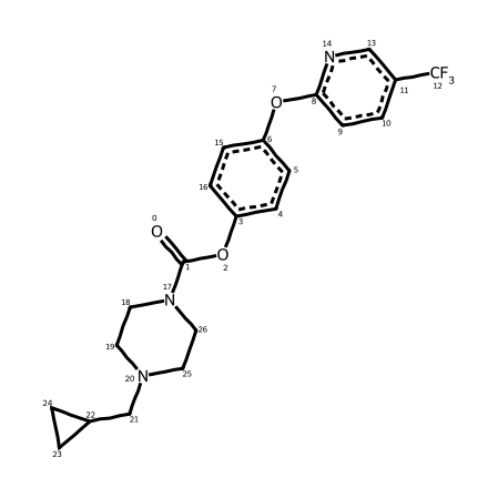 O=C(Oc1ccc(Oc2ccc(C(F)(F)F)cn2)cc1)N1CCN(CC2CC2)CC1